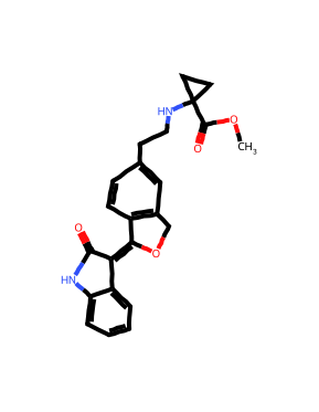 COC(=O)C1(NCCc2ccc3c(c2)CO/C3=C2/C(=O)Nc3ccccc32)CC1